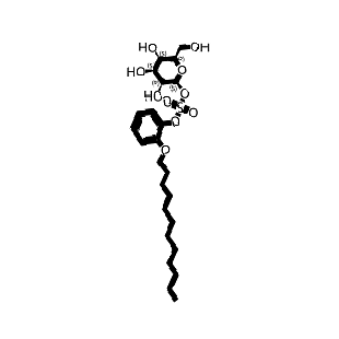 CCCCCCCCCCCCOc1ccccc1OS(=O)(=O)O[C@@H]1O[C@H](CO)[C@@H](O)[C@H](O)[C@H]1O